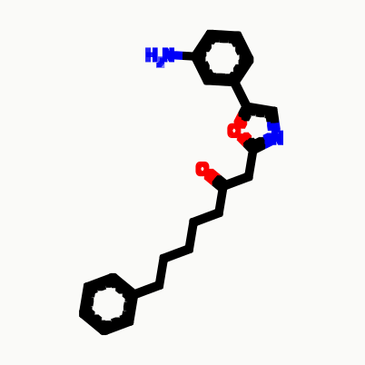 Nc1cccc(-c2cnc(CC(=O)CCCCCc3ccccc3)o2)c1